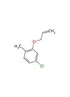 C=CCOc1cc(Cl)ccc1C